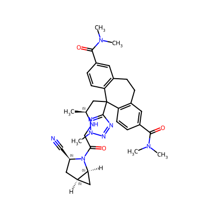 C[C@@H](CC1(c2nnn(C)n2)c2ccc(C(=O)N(C)C)cc2CCc2cc(C(=O)N(C)C)ccc21)NCC(=O)N1[C@H](C#N)C[C@@H]2C[C@@H]21